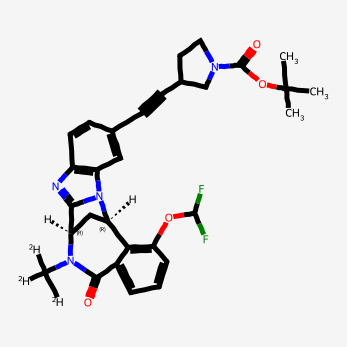 [2H]C([2H])([2H])N1C(=O)c2cccc(OC(F)F)c2[C@H]2C[C@@H]1c1nc3ccc(C#CC4CCN(C(=O)OC(C)(C)C)C4)cc3n12